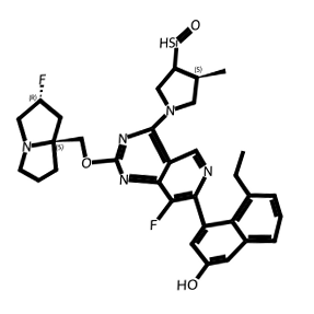 CCc1cccc2cc(O)cc(-c3ncc4c(N5CC([SiH]=O)[C@@H](C)C5)nc(OC[C@@]56CCCN5C[C@H](F)C6)nc4c3F)c12